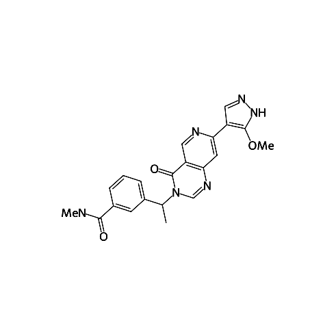 CNC(=O)c1cccc(C(C)n2cnc3cc(-c4cn[nH]c4OC)ncc3c2=O)c1